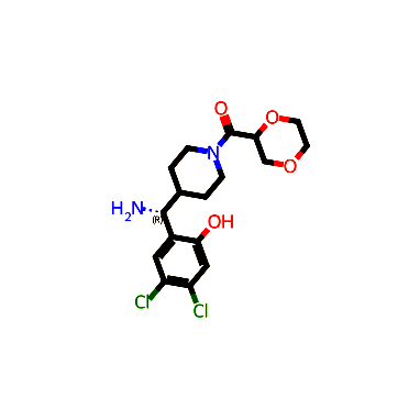 N[C@@H](c1cc(Cl)c(Cl)cc1O)C1CCN(C(=O)C2COCCO2)CC1